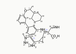 CC(Oc1cccc(-c2cccc(N/C(=C(\C=N)C(=O)O)C3CC3/C(N)=C/N(C)N)c2)c1)C1CCCCC1